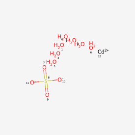 O.O.O.O.O.O.O.O=S(=O)([O-])[O-].[Cd+2]